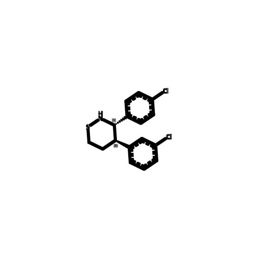 Clc1ccc([C@H]2NSCC[C@@H]2c2cccc(Cl)c2)cc1